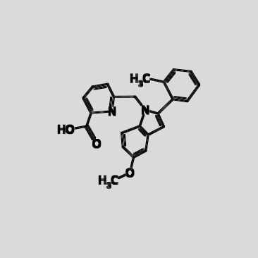 COc1ccc2c(c1)cc(-c1ccccc1C)n2Cc1cccc(C(=O)O)n1